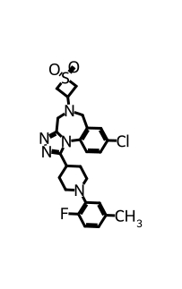 Cc1ccc(F)c(N2CCC(c3nnc4n3-c3ccc(Cl)cc3CN(C3CS(=O)(=O)C3)C4)CC2)c1